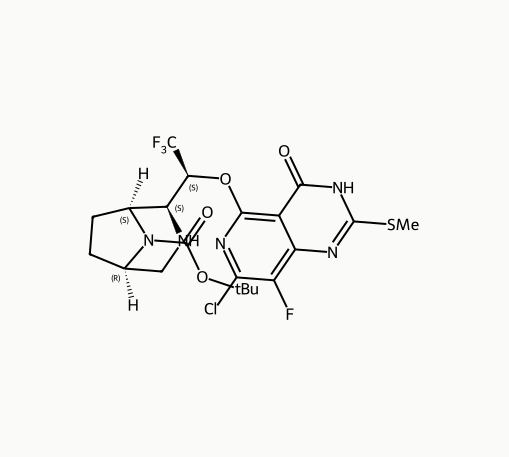 CSc1nc2c(F)c(Cl)nc(O[C@@H]([C@H]3NC[C@H]4CC[C@@H]3N4C(=O)OC(C)(C)C)C(F)(F)F)c2c(=O)[nH]1